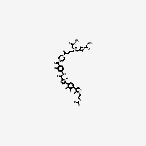 Cc1c(-c2cnc(C(=O)Nc3ccc(C(=O)N4CCN(C(=O)CCC[N+](C)(CC(=O)OC(C)(C)C)CC5CN(C(=O)OC(C)(C)C)C5)CC4)c(Cl)c3)n2C)ccc(-c2cnn(CCOC(F)F)c2C)c1F